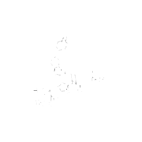 CC[C@H](C)NCCC(=O)Nc1sc2c(c1-c1nc3cc(-c4ccncc4)ccc3s1)C[C@@H](C)N(C(=O)O)C2